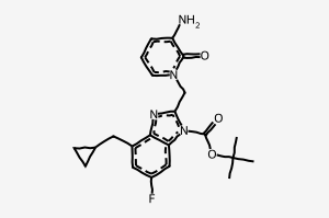 CC(C)(C)OC(=O)n1c(Cn2cccc(N)c2=O)nc2c(CC3CC3)cc(F)cc21